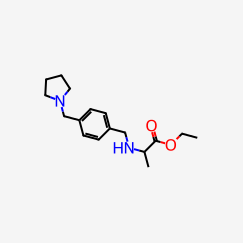 CCOC(=O)C(C)NCc1ccc(CN2CCCC2)cc1